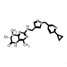 CC[C@H]1C(=O)Nc2c(C)nc(NCc3cnn(Cc4ccc(C5CC5)nc4)c3)nc2N1C